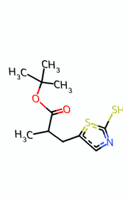 CC(Cc1cnc(S)s1)C(=O)OC(C)(C)C